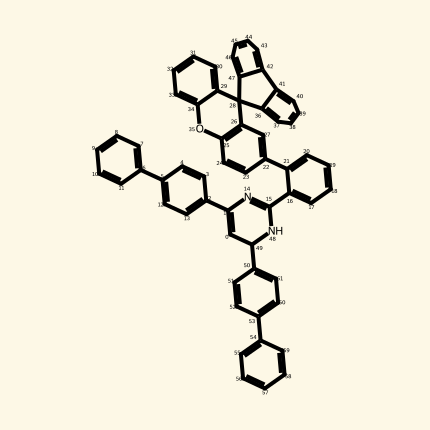 C1=C(c2ccc(-c3ccccc3)cc2)N=C(c2ccccc2-c2ccc3c(c2)C2(c4ccccc4O3)c3ccccc3-c3ccccc32)NC1c1ccc(-c2ccccc2)cc1